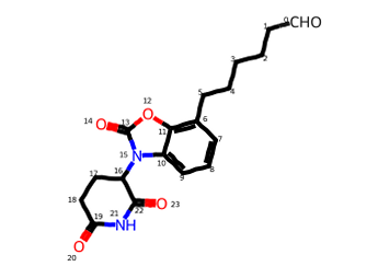 O=CCCCCCc1cccc2c1oc(=O)n2C1CCC(=O)NC1=O